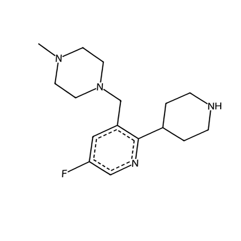 CN1CCN(Cc2cc(F)cnc2C2CCNCC2)CC1